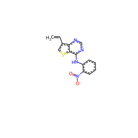 C=Cc1csc2c(Nc3ccccc3[N+](=O)[O-])ncnc12